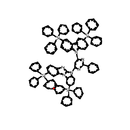 c1ccc(-c2nc(-n3c4ccc([Si](c5ccccc5)(c5ccccc5)c5ccccc5)cc4c4cc([Si](c5ccccc5)(c5ccccc5)c5ccccc5)ccc43)cc(-n3c4ccc([Si](c5ccccc5)(c5ccccc5)c5ccccc5)cc4n4c5cc([Si](c6ccccc6)(c6ccccc6)c6ccccc6)ccc5nc34)n2)cc1